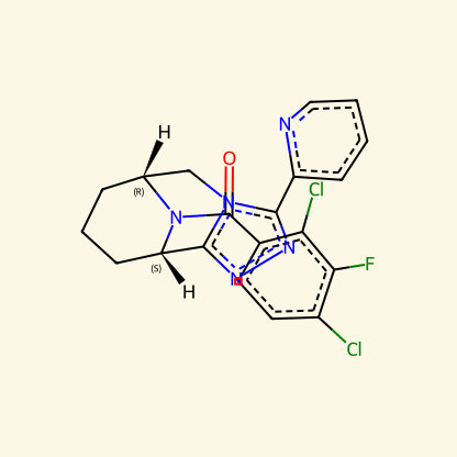 O=C(c1ccc(Cl)c(F)c1Cl)N1[C@@H]2CCC[C@H]1c1nnc(-c3ccccn3)n1C2